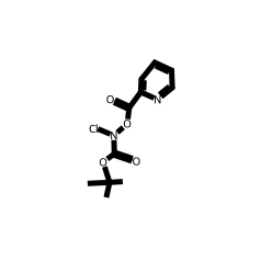 CC(C)(C)OC(=O)N(Cl)OC(=O)c1ccccn1